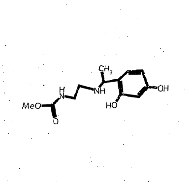 COC(=O)NCCNC(C)c1ccc(O)cc1O